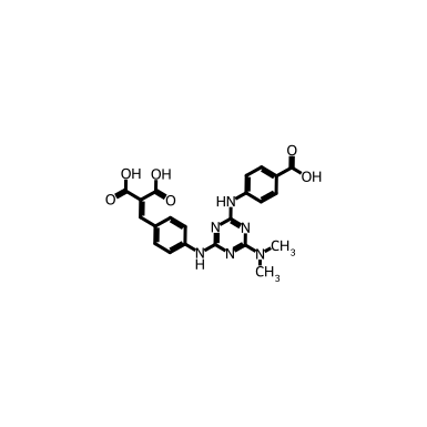 CN(C)c1nc(Nc2ccc(C=C(C(=O)O)C(=O)O)cc2)nc(Nc2ccc(C(=O)O)cc2)n1